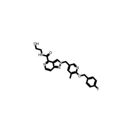 Cc1cc(Cn2cc3c(C(=O)NCCO)nccc3n2)cnc1OCc1ccc(F)cc1